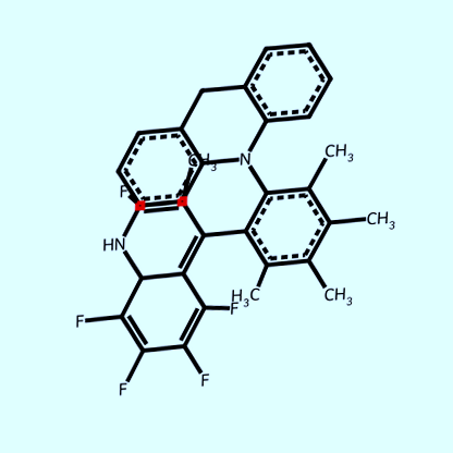 CC1=C(F)NC2C(F)=C(F)C(F)=C(F)C2=C1c1c(C)c(C)c(C)c(C)c1N1c2ccccc2Cc2ccccc21